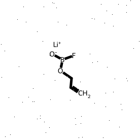 C=CCOB([O-])F.[Li+]